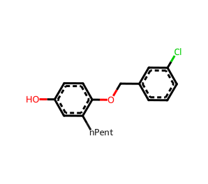 CCCCCc1cc(O)ccc1OCc1cccc(Cl)c1